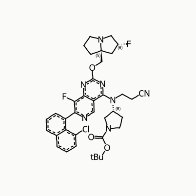 CC(C)(C)OC(=O)N1CC[C@@H](N(CCC#N)c2nc(OC[C@@]34CCCN3C[C@H](F)C4)nc3c(F)c(-c4cccc5cccc(Cl)c45)ncc23)C1